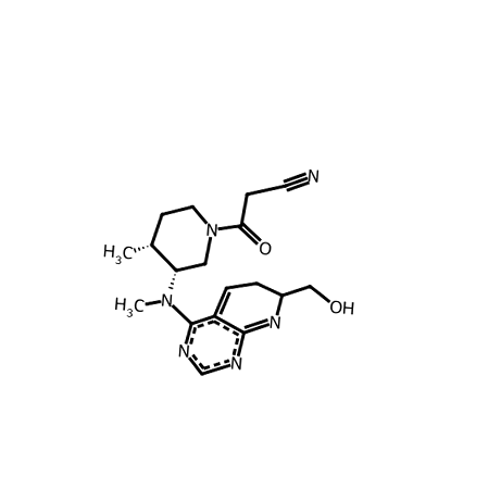 C[C@@H]1CCN(C(=O)CC#N)C[C@@H]1N(C)c1ncnc2c1=CCC(CO)N=2